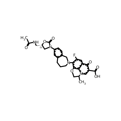 CC(=O)NC[C@H]1CN(c2ccc3c(c2)CCCN(c2c(F)cc4c(=O)c(C(=O)O)cn5c4c2OCC5C)C3)C(=O)O1